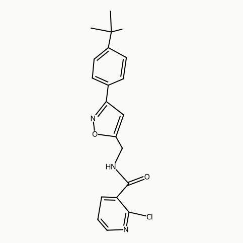 CC(C)(C)c1ccc(-c2cc(CNC(=O)c3cccnc3Cl)on2)cc1